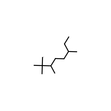 [CH2]C(C)(C)C(C)CCC(C)CC